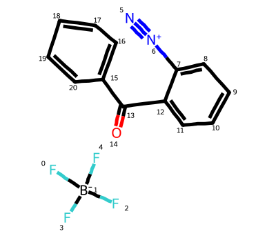 F[B-](F)(F)F.N#[N+]c1ccccc1C(=O)c1ccccc1